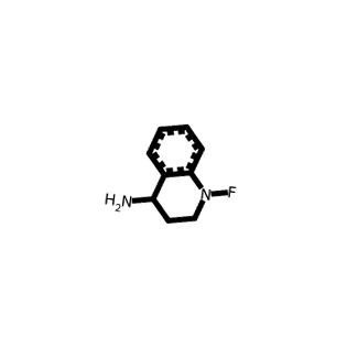 NC1CCN(F)c2ccccc21